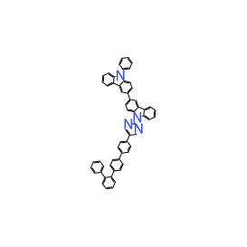 c1ccc(-c2ccccc2-c2ccc(-c3ccc(-c4cnc(-n5c6ccccc6c6cc(-c7ccc8c(c7)c7ccccc7n8-c7ccccc7)ccc65)nc4)cc3)cc2)cc1